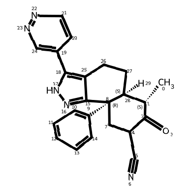 C[C@@H]1C(=O)C(C#N)C[C@@]2(c3ccccc3)c3n[nH]c(-c4ccnnc4)c3CC[C@@H]12